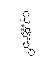 O=C(NC1CCCCC1)N[C@H]1CO[C@H]2[C@@H]1OC[C@@H]2Oc1cccc(N2CCCCC2)c1